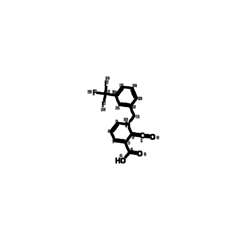 O=C=C1C(C(=O)O)=CC=CN1Cc1cccc(C(F)(F)F)c1